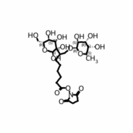 C[C@@H]1O[C@@H](OCC(CCCCCC(=O)ON2C(=O)CCC2=O)[C@@]2(O)[C@@H](O)O[C@H](CO)[C@@H](O)[C@@H]2O)[C@@H](O)[C@H](O)[C@@H]1O